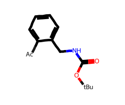 CC(=O)c1ccccc1CNC(=O)OC(C)(C)C